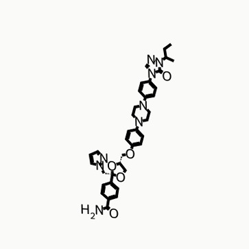 CCC(C)n1ncn(-c2ccc(N3CCN(c4ccc(OC[C@@H]5CO[C@@](Cn6cccn6)(c6ccc(C(N)=O)cc6)O5)cc4)CC3)cc2)c1=O